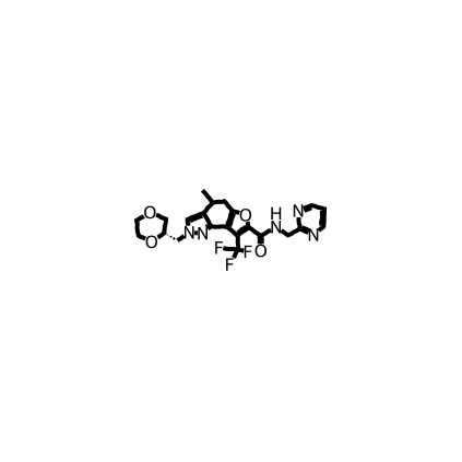 CC1Cc2oc(C(=O)NCc3ncccn3)c(C(F)(F)F)c2-c2nn(C[C@H]3COCCO3)cc21